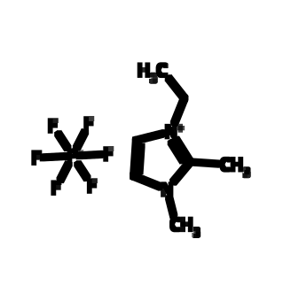 CC[n+]1ccn(C)c1C.F[P-](F)(F)(F)(F)F